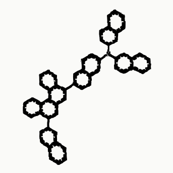 c1ccc2cc(-c3cc4cc(-c5ccc6cc(N(c7ccc8ccccc8c7)c7ccc8ccccc8c7)ccc6c5)c5ccccc5c4c4ccccc34)ccc2c1